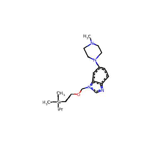 CC(C)[Si](C)(C)CCOCn1cnc2ccc(N3CCN(C)CC3)cc21